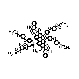 C=CC(=O)OC1CCCC(O/C(C=C)=C/C=C(\C)Oc2cc3c4c(cc(Oc5ccc(OC6CCCC(OC(=O)C=C)C6)cc5)c5c6c(Oc7ccc(OC8CCCC(OC(=O)C=C)C8)cc7)cc7c8c(cc(Oc9ccc(OC%10CCCC(OC(=O)C=C)C%10)cc9)c(c2c45)c86)C(=O)N(C(Cc2ccccc2)C(=O)O)C7=O)C(=O)N(C(Cc2ccccc2)C(=O)O)C3=O)C1